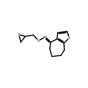 c1cc2c(s1)CCCC/C2=N\OCC1CO1